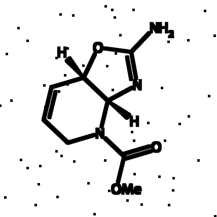 COC(=O)N1CC=C[C@@H]2OC(N)=N[C@@H]21